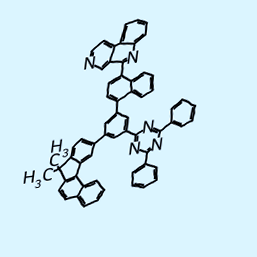 CC1(C)c2ccc(-c3cc(-c4nc(-c5ccccc5)nc(-c5ccccc5)n4)cc(-c4ccc(-c5nc6ccccc6c6ccncc56)c5ccccc45)c3)cc2-c2c1ccc1ccccc21